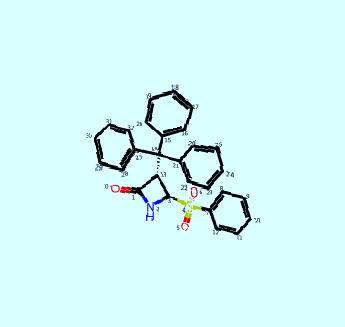 O=C1N[C@H](S(=O)(=O)c2ccccc2)[C@H]1C(c1ccccc1)(c1ccccc1)c1ccccc1